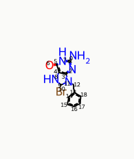 Nc1nc2c(c(=O)[nH]1)NC(Br)N2Cc1ccccc1